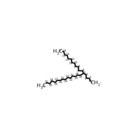 [CH2]CCCCC(CCCCCCCCCCCC)CCCCCCCCCCCCCCC